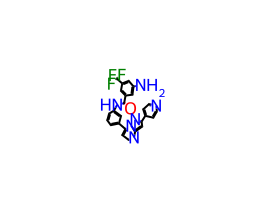 Nc1cc(C(=O)Nc2cccc(-c3ccnc4cc(-c5ccncc5)nn34)c2)cc(C(F)(F)F)c1